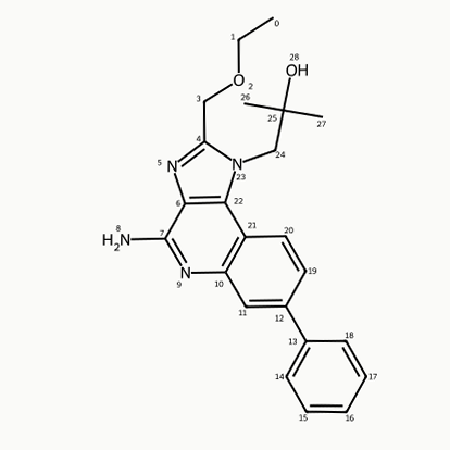 CCOCc1nc2c(N)nc3cc(-c4ccccc4)ccc3c2n1CC(C)(C)O